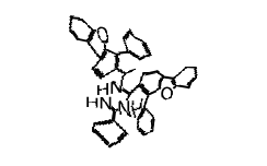 CC(NC(NC(=N)c1ccccc1)c1ccc2c3c(oc2c1-c1ccccc1)C=CCC3)c1ccc2c3c(oc2c1-c1ccccc1)CCC=C3